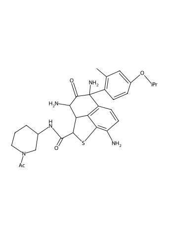 CC(=O)N1CCCC(NC(=O)C2Sc3c(N)ccc4c3C2C(N)C(=O)C4(N)c2ccc(OC(C)C)cc2C)C1